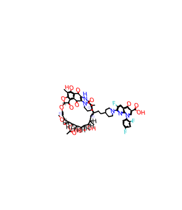 CO[C@H]1/C=C/O[C@@]2(C)Oc3c(C)c(O)c4c(c3C2=O)C(=O)C(N2CCC(CCCC3CCN(c5nc6c(cc5F)c(=O)c(C(=O)O)cn6-c5ccc(F)cc5F)CC3)CC2)=C(NC(=O)/C(C)=C\C=C\[C@H](C)[C@H](O)[C@@H](C)[C@@H](O)[C@@H](C)[C@H](OC(C)=O)[C@@H]1C)C4=O